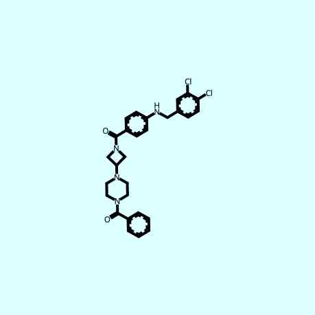 O=C(c1ccccc1)N1CCN(C2CN(C(=O)c3ccc(NCc4ccc(Cl)c(Cl)c4)cc3)C2)CC1